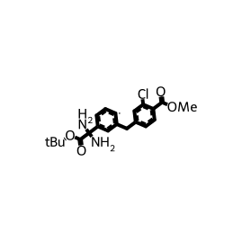 COC(=O)c1ccc(Cc2[c]ccc(C(N)(N)C(=O)OC(C)(C)C)c2)cc1Cl